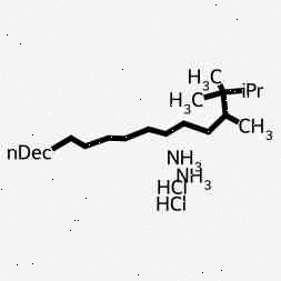 CCCCCCCCCCCCCCCCCCC(C)C(C)(C)C(C)C.Cl.Cl.N.N